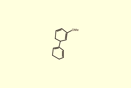 COC1=CC(C2=CCCC=C2)CC=C1